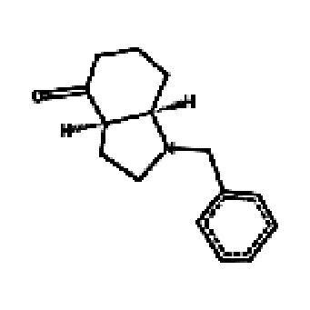 O=C1CCC[C@@H]2[C@H]1CCN2Cc1ccccc1